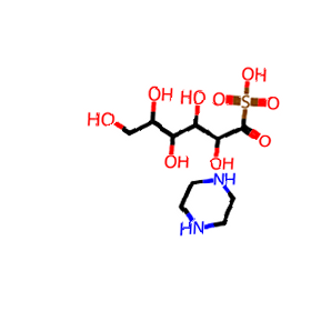 C1CNCCN1.O=C(C(O)C(O)C(O)C(O)CO)S(=O)(=O)O